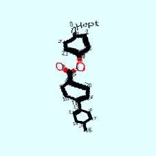 CCCCCCCc1ccc(OC(=O)c2ccc(C3=CCC(C)CC3)cc2)cc1